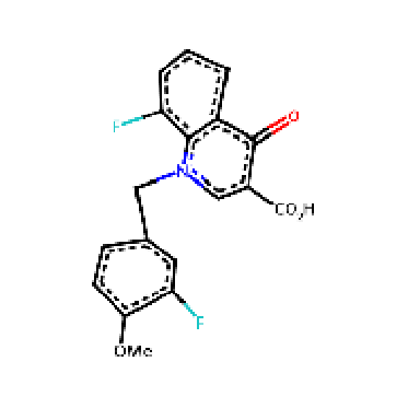 COc1ccc(Cn2cc(C(=O)O)c(=O)c3cccc(F)c32)cc1F